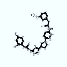 O=C(Cc1cccc(OC(F)(F)F)c1)Nc1ccc(N2CCC(c3nnc(NC(=O)Cc4ccc(F)cc4F)s3)C2)nn1